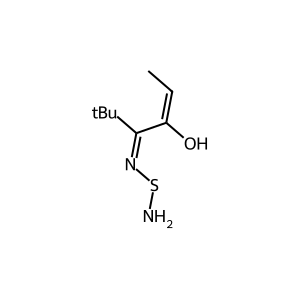 C/C=C(O)\C(=N/SN)C(C)(C)C